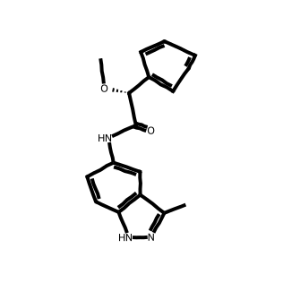 CO[C@@H](C(=O)Nc1ccc2[nH]nc(C)c2c1)c1ccccc1